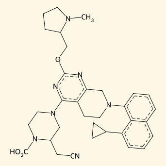 CN1CCCC1COc1nc2c(c(N3CCN(C(=O)O)C(CC#N)C3)n1)CCN(c1cccc3cccc(C4CC4)c13)C2